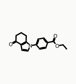 CCOC(=O)c1ccc(-n2ccc3c2CCCC3=O)cc1